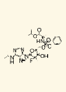 CC(C)Nc1ncnc2c1ncn2[C@@H]1O[C@H](CO[P@@](=O)(N[C@@H](C)C(=O)OC(C)C)Oc2ccccc2)[C@@H](O)[C@@]1(C)F